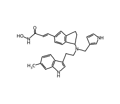 Cc1ccc2c(CCN(Cc3cc[nH]c3)C3CCc4cc(C=CC(=O)NO)ccc43)c[nH]c2c1